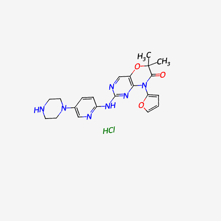 CC1(C)Oc2cnc(Nc3ccc(N4CCNCC4)cn3)nc2N(c2ccco2)C1=O.Cl